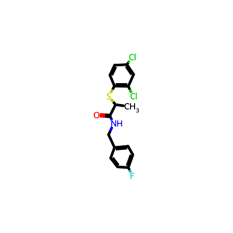 CC(Sc1ccc(Cl)cc1Cl)C(=O)NCc1ccc(F)cc1